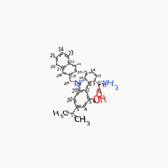 CC(C)c1cc(O)c2c3c(C(N)=O)cccc3n(Cc3ccc4ccccc4c3)c2c1